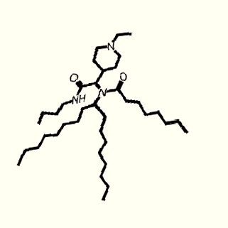 CCCCCCCCC(CCCCCCCC)N(C(=O)CCCCCCC)C(C(=O)NCCCC)C1CCN(CC)CC1